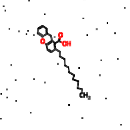 CCCCCCCCCCCCc1ccc2c(c1C(=O)O)Cc1ccccc1O2